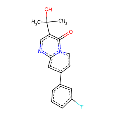 CC(C)(O)c1cnc2cc(-c3cccc(F)c3)ccn2c1=O